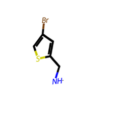 [NH]Cc1cc(Br)cs1